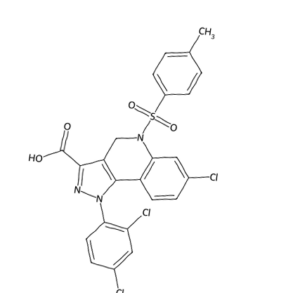 Cc1ccc(S(=O)(=O)N2Cc3c(C(=O)O)nn(-c4ccc(Cl)cc4Cl)c3-c3ccc(Cl)cc32)cc1